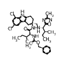 CCC(C)[C@H](NC(=O)OCc1ccccc1)C(=O)N[C@]1(CN[C@H](c2nc(C)no2)C(C)CC)CCc2[nH]c3c(Cl)cc(Cl)cc3c2C1